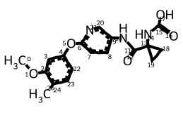 COc1cc(Oc2ccc(NC(=O)C3(NC(=O)O)CC3)cn2)ccc1C